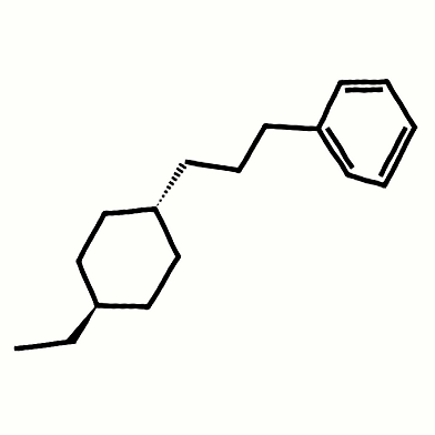 CC[C@H]1CC[C@H](CCCc2ccccc2)CC1